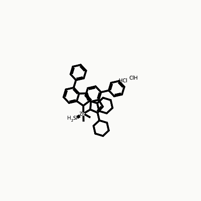 Cl.Cl.[CH3][Zr]([CH3])(=[SiH2])([CH]1C(C2CCCCC2)=Cc2c(-c3ccccc3)cccc21)[CH]1C(C2CCCCC2)=Cc2c(-c3ccccc3)cccc21